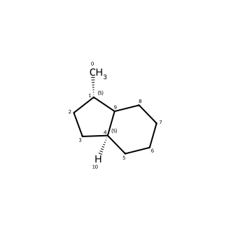 C[C@H]1CC[C@@H]2CCCCC21